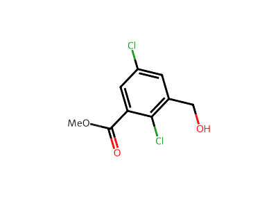 COC(=O)c1cc(Cl)cc(CO)c1Cl